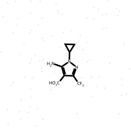 Nc1c(C(=O)O)c(C(F)(F)F)nn1C1CC1